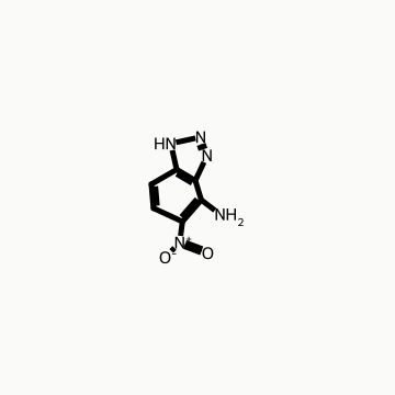 Nc1c([N+](=O)[O-])ccc2[nH]nnc12